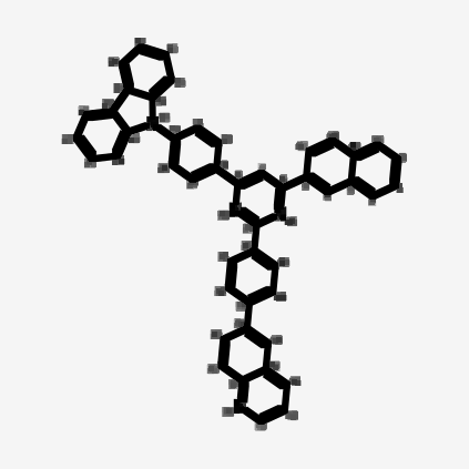 c1ccc2cc(-c3cc(-c4ccc(-n5c6ccccc6c6ccccc65)cc4)nc(-c4ccc(-c5ccc6ncccc6c5)cc4)n3)ccc2c1